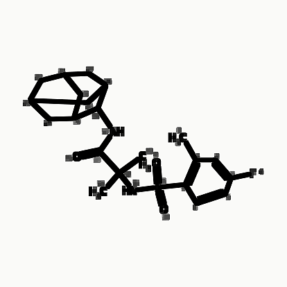 Cc1cc(F)ccc1S(=O)(=O)NC(C)(C)C(=O)NC1C2CC3CC(C2)CC1C3